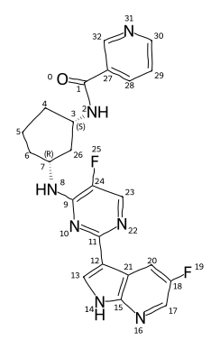 O=C(N[C@H]1CCC[C@@H](Nc2nc(-c3c[nH]c4ncc(F)cc34)ncc2F)C1)c1cccnc1